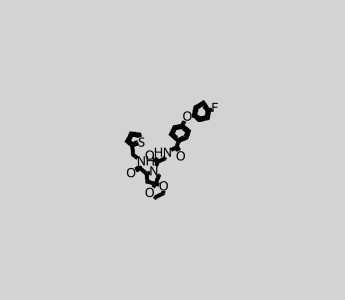 O=C(NCC(=O)N1CC2(CC1C(=O)NCc1cccs1)OCCO2)c1ccc(Oc2ccc(F)cc2)cc1